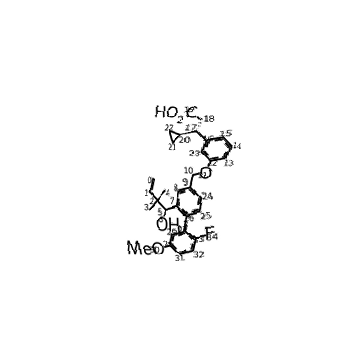 C=CC(C)(C)[C@H](O)c1cc(COc2cccc([C@@H](CC(=O)O)C3CC3)c2)ccc1-c1cc(OC)ccc1F